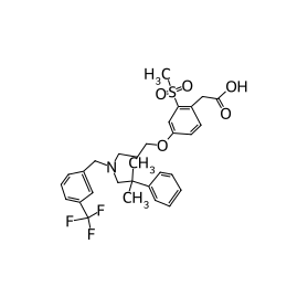 CC(C)(CN(CCCOc1ccc(CC(=O)O)c(S(C)(=O)=O)c1)Cc1cccc(C(F)(F)F)c1)c1ccccc1